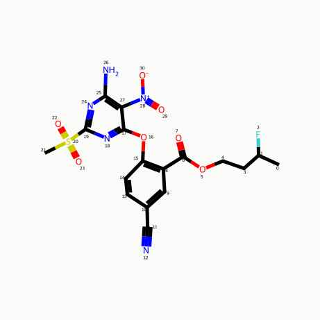 CC(F)CCOC(=O)c1cc(C#N)ccc1Oc1nc(S(C)(=O)=O)nc(N)c1[N+](=O)[O-]